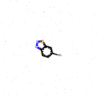 CC(C)(C)c1ccc2nnsc2c1